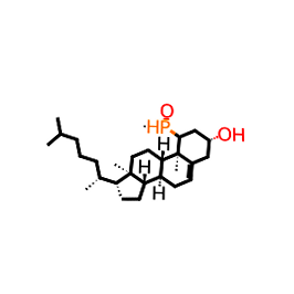 CC(C)CCC[C@@H](C)[C@H]1CC[C@H]2[C@@H]3CC=C4C[C@@H](O)CC([PH]=O)[C@]4(C)[C@H]3CC[C@]12C